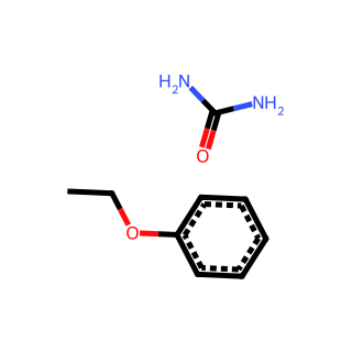 CCOc1ccccc1.NC(N)=O